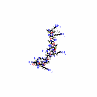 CC(=O)N[C@@H](CCCCN)c1nc(C)sc1C(=O)N[C@@H](C)c1nc(CCCCN)sc1C(=O)N[C@@H](C)c1nc(C)sc1C(=O)N[C@@H](CCCCN)c1nc(C)sc1C(=O)N[C@@H](C)c1nc(CCCCN)sc1C(=O)N[C@@H](C)c1nc(C)sc1C(=O)N[C@@H](CCCCN)c1nc(C)sc1C(=O)N[C@@H](C)c1nc(CCCCN)sc1C(=O)N[C@@H](C)c1nc(C)sc1C(N)=O